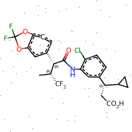 C[C@H]([C@@H](C(=O)Nc1cc([C@@H](CC(=O)O)C2CC2)ccc1Cl)c1ccc2c(c1)OC(F)(F)O2)C(F)(F)F